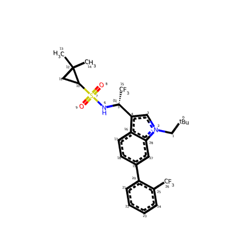 CC(C)(C)Cn1cc([C@H](NS(=O)(=O)C2CC2(C)C)C(F)(F)F)c2ccc(-c3ccccc3C(F)(F)F)cc21